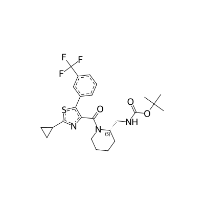 CC(C)(C)OC(=O)NC[C@@H]1CCCCN1C(=O)c1nc(C2CC2)sc1-c1cccc(C(F)(F)F)c1